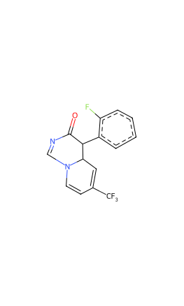 O=C1N=CN2C=CC(C(F)(F)F)=CC2C1c1ccccc1F